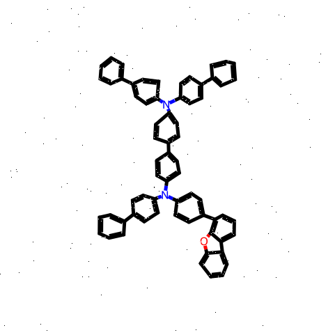 c1ccc(-c2ccc(N(c3ccc(-c4ccccc4)cc3)c3ccc(-c4ccc(N(c5ccc(-c6ccccc6)cc5)c5ccc(-c6cccc7c6oc6ccccc67)cc5)cc4)cc3)cc2)cc1